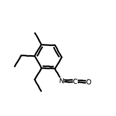 CCc1c(C)ccc(N=C=O)c1CC